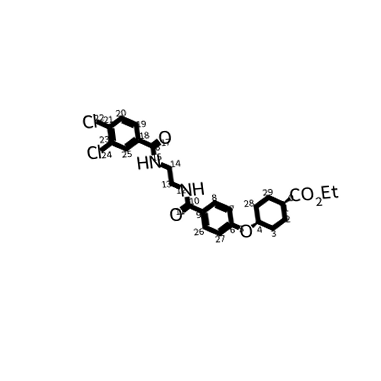 CCOC(=O)[C@H]1CC[C@@H](Oc2ccc(C(=O)NCCNC(=O)c3ccc(Cl)c(Cl)c3)cc2)CC1